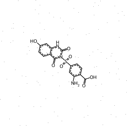 Nc1cc(S(=O)(=O)n2c(=O)[nH]c3cc(O)ccc3c2=O)ccc1C(=O)O